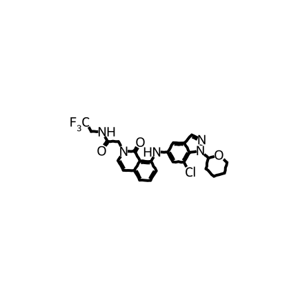 O=C(Cn1ccc2cccc(Nc3cc(Cl)c4c(cnn4C4CCCCO4)c3)c2c1=O)NCC(F)(F)F